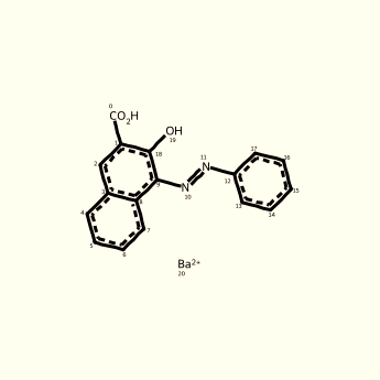 O=C(O)c1cc2ccccc2c(N=Nc2ccccc2)c1O.[Ba+2]